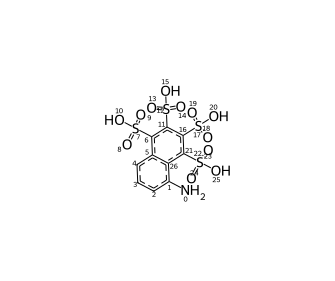 Nc1cccc2c(S(=O)(=O)O)c(S(=O)(=O)O)c(S(=O)(=O)O)c(S(=O)(=O)O)c12